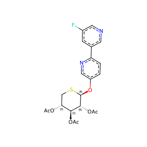 CC(=O)O[C@@H]1[C@@H](OC(C)=O)[C@H](OC(C)=O)CS[C@H]1Oc1ccc(-c2cncc(F)c2)nc1